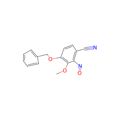 COc1c(OCc2ccccc2)ccc(C#N)c1N=O